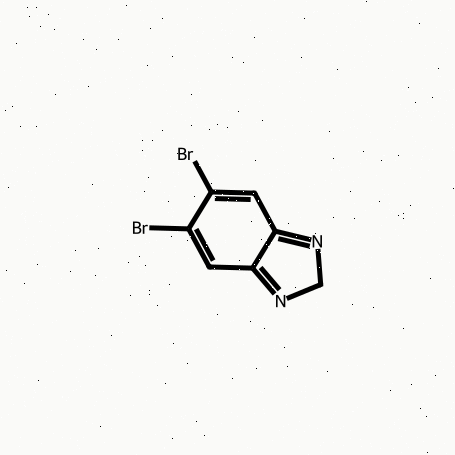 Brc1cc2c(cc1Br)=NCN=2